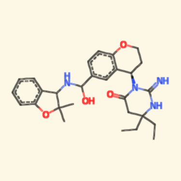 CCC1(CC)CC(=O)N([C@@H]2CCOc3ccc(C(O)NC4c5ccccc5OC4(C)C)cc32)C(=N)N1